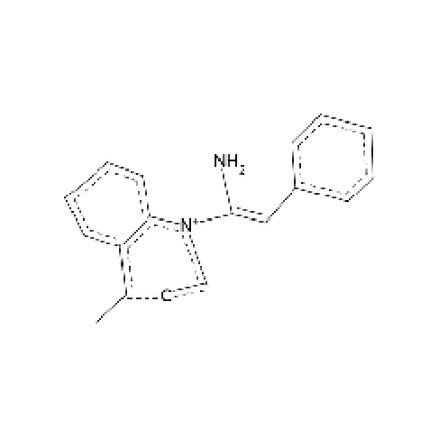 Cc1cc[n+](C(N)=Cc2ccccc2)c2ccccc12